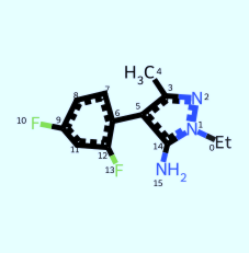 CCn1nc(C)c(-c2ccc(F)cc2F)c1N